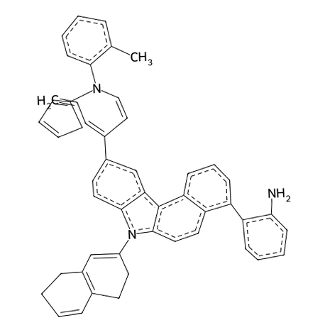 C=C/C=C(\C=C/N(C1=CC=CC1)c1ccccc1C)c1ccc2c(c1)c1c3cccc(-c4ccccc4N)c3ccc1n2C1=CC2=C(C=CCC2)CC1